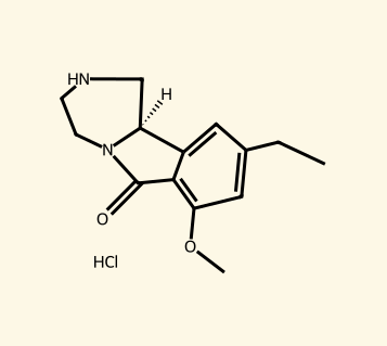 CCc1cc(OC)c2c(c1)[C@@H]1CNCCN1C2=O.Cl